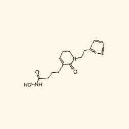 O=C(CCCC1=CCCN(CCc2ccccc2)C1=O)NO